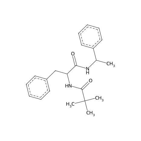 CC(NC(=O)C(Cc1ccccc1)NC(=O)C(C)(C)C)c1ccccc1